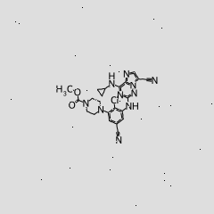 COC(=O)N1CCN(c2cc(C#N)cc(Nc3nc(NC4CC4)c4ncc(C#N)n4n3)c2Cl)CC1